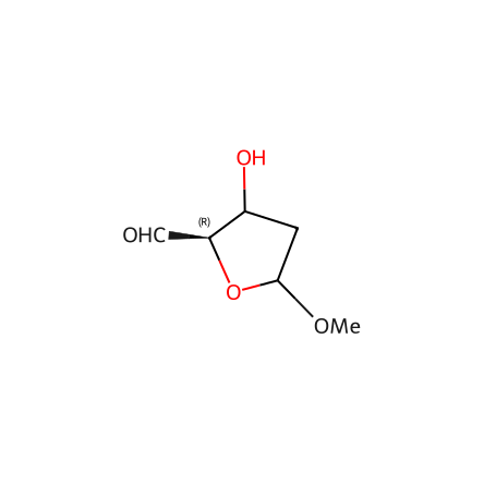 COC1CC(O)[C@H](C=O)O1